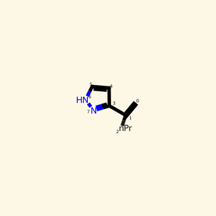 C=C(CCC)c1cc[nH]n1